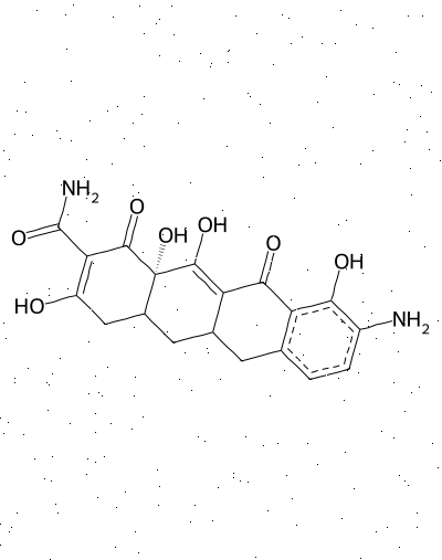 NC(=O)C1=C(O)CC2CC3Cc4ccc(N)c(O)c4C(=O)C3=C(O)[C@]2(O)C1=O